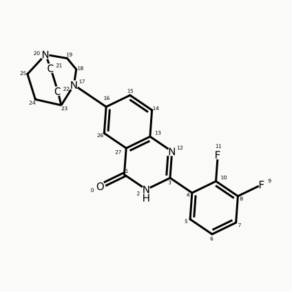 O=c1[nH]c(-c2cccc(F)c2F)nc2ccc(N3CCN4CCC3CC4)cc12